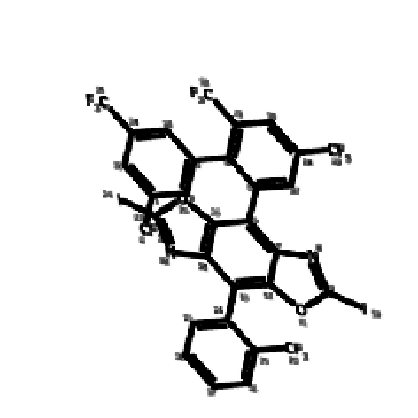 FC(F)(F)c1cc(-c2c(-c3c4nc(I)oc4c(-c4ccccc4C(F)(F)F)c4nc(I)oc34)cc(C(F)(F)F)cc2C(F)(F)F)cc(C(F)(F)F)c1